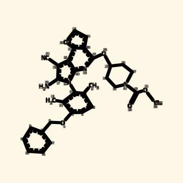 Cc1ccc(OCc2ccccc2)c(C)c1-n1c(N)c(C#N)c2c3occc3c(OC3CCN(C(=O)OC(C)(C)C)CC3)nc21